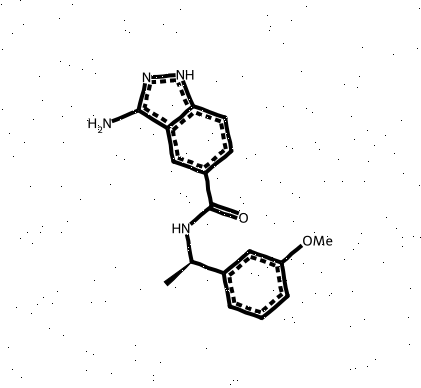 COc1cccc([C@@H](C)NC(=O)c2ccc3[nH]nc(N)c3c2)c1